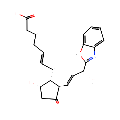 O=C(O)CCCC=CC[C@H]1[C@@H](O)CC(=O)[C@@H]1C=C[C@@H](O)c1nc2ccccc2o1